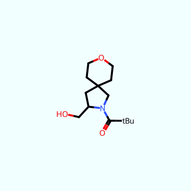 CC(C)(C)C(=O)N1CC2(CCOCC2)CC1CO